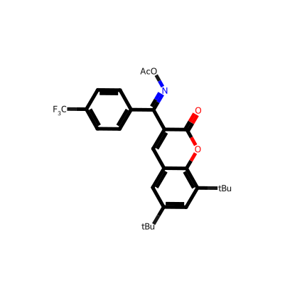 CC(=O)O/N=C(\c1ccc(C(F)(F)F)cc1)c1cc2cc(C(C)(C)C)cc(C(C)(C)C)c2oc1=O